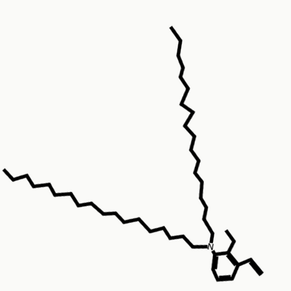 C=Cc1cccc(N(CCCCCCCCCCCCCCCCCC)CCCCCCCCCCCCCCCCCC)c1CC